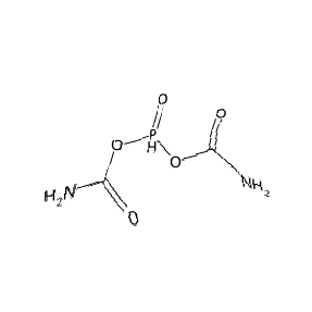 NC(=O)O[PH](=O)OC(N)=O